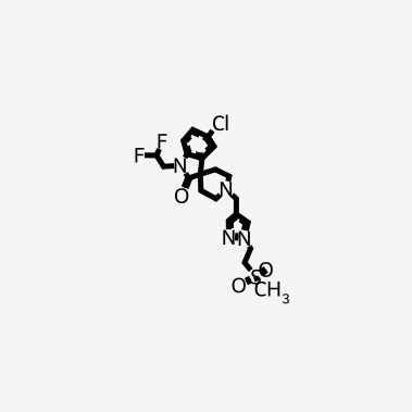 CS(=O)(=O)CCn1cc(CN2CCC3(CC2)C(=O)N(CC(F)F)c2ccc(Cl)cc23)cn1